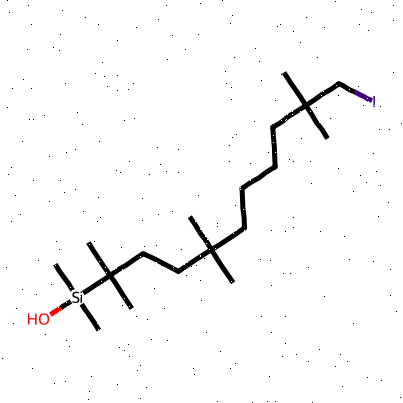 CC(C)(CI)CCCCC(C)(C)CCC(C)(C)[Si](C)(C)O